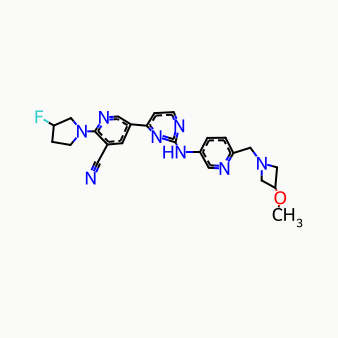 COC1CN(Cc2ccc(Nc3nccc(-c4cnc(N5CCC(F)C5)c(C#N)c4)n3)cn2)C1